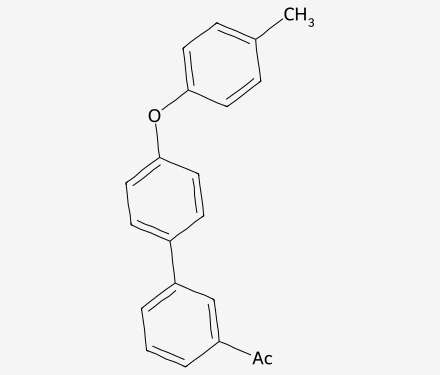 CC(=O)c1cccc(-c2ccc(Oc3ccc(C)cc3)cc2)c1